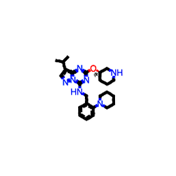 CC(C)c1cnn2c(NCc3ccccc3N3CCCCC3)nc(O[C@@H]3CCCNC3)nc12